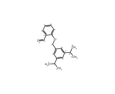 CC(C)c1cc(COc2ccccc2C=O)cc(C(C)C)c1